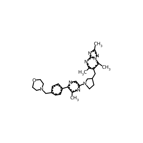 Cc1nc2nc(C)c(CC3CCN(c4cnc(-c5ccc(CN6CCOCC6)cc5)c(C)n4)C3)c(C)n2n1